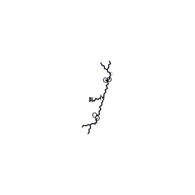 CCCCC(C/C=C\COC(=O)CCCCCCCN(CCCCCCCC(=O)OC/C=C\CC(CCCC)CCCC)CCCCN(C)C)CCCC